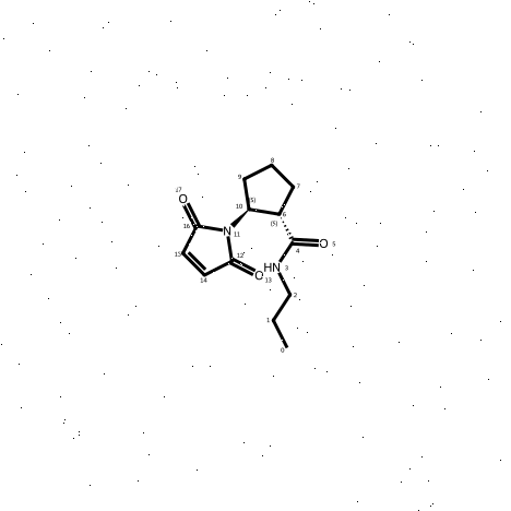 CCCNC(=O)[C@H]1CCC[C@@H]1N1C(=O)C=CC1=O